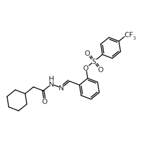 O=C(CC1CCCCC1)N/N=C/c1ccccc1OS(=O)(=O)c1ccc(C(F)(F)F)cc1